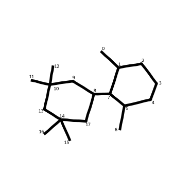 CC1CCCC(C)C1C1CC(C)(C)CC(C)(C)C1